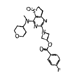 CN(c1nc(N2CC(OC(=O)c3ccc(F)cc3)C2)nc2c1[S+]([O-])CC2)C1CCOCC1